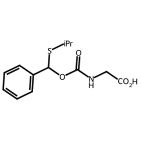 CC(C)SC(OC(=O)NCC(=O)O)c1ccccc1